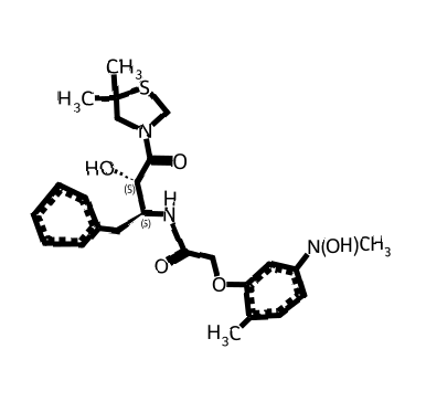 Cc1ccc(N(C)O)cc1OCC(=O)N[C@@H](Cc1ccccc1)[C@H](O)C(=O)N1CSC(C)(C)C1